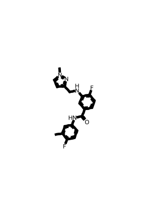 Cc1cc(NC(=O)c2ccc(F)c(NCc3ccn(C)n3)c2)ccc1F